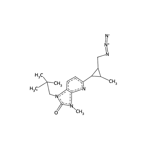 CC1C(CN=[N+]=[N-])C1c1ccc2c(n1)n(C)c(=O)n2CC(C)(C)C